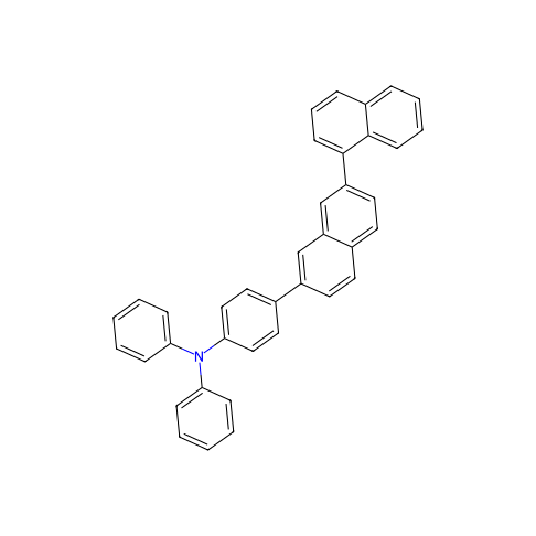 c1ccc(N(c2ccccc2)c2ccc(-c3ccc4ccc(-c5cccc6ccccc56)cc4c3)cc2)cc1